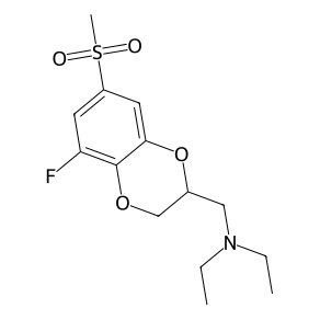 CCN(CC)CC1COc2c(F)cc(S(C)(=O)=O)cc2O1